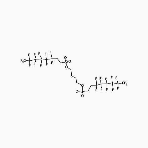 O=S(=O)(CCC(F)(F)C(F)(F)C(F)(F)C(F)(F)C(F)(F)C(F)(F)F)OCCCCOS(=O)(=O)CCC(F)(F)C(F)(F)C(F)(F)C(F)(F)C(F)(F)C(F)(F)F